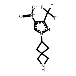 O=[N+]([O-])c1cn(C2CC3(CNC3)C2)nc1C(F)(F)F